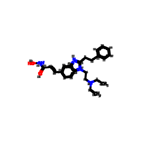 CCN(CC)CCn1c(CCc2ccccc2)nc2cc(C=CC(=O)NO)ccc21